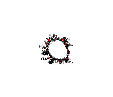 CCCC[C@H]1C(=O)N(C)[C@@H](CCCC)C(=O)N[C@@H](CCC(=O)O)C(=O)N[C@H](C(=O)NCC(N)=O)CSCC(=O)N[C@@H](Cc2ccc(O)cc2)C(=O)N(C)[C@@H](C)C(=O)N[C@@H](CC(=O)O)C(=O)N2CCC[C@H]2C(=O)N[C@@H](Cc2c[nH]cn2)C(=O)N[C@@H](CCC(=O)CN)C(=O)N2C[C@H](O)C[C@H]2C(=O)N[C@@H](Cc2c[nH]c3ccccc23)C(=O)N[C@@H](CCCCN)C(=O)N[C@@H](Cc2c[nH]c3ccccc23)C(=O)N1C